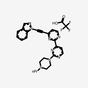 CCCN1CCN(c2nccc(-c3nccc(C#Cn4ncc5ccccc54)n3)n2)CC1.O=C(O)C(F)(F)F